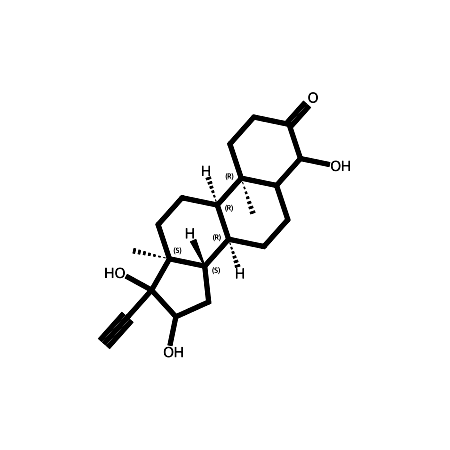 C#CC1(O)C(O)C[C@H]2[C@@H]3CCC4C(O)C(=O)CC[C@]4(C)[C@@H]3CC[C@@]21C